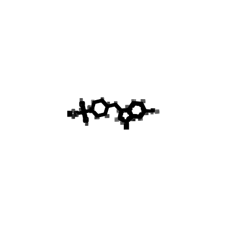 CS(=O)(=O)N1CCC(Cc2c[nH]c3cc(F)ccc23)CC1